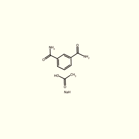 CC(=O)O.NC(=O)c1cccc(C(N)=O)c1.[NaH]